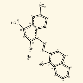 O=[N+]([O-])c1ccc2c(N=Nc3ccc4ccccc4c3O)c(O)cc(S(=O)(=O)O)c2c1.[Na]